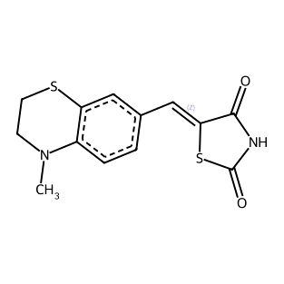 CN1CCSc2cc(/C=C3\SC(=O)NC3=O)ccc21